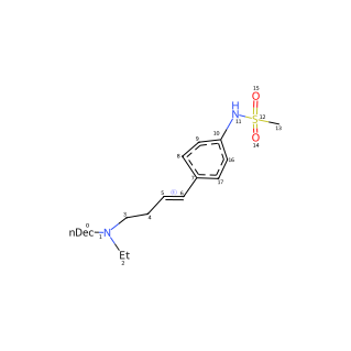 CCCCCCCCCCN(CC)CC/C=C/c1ccc(NS(C)(=O)=O)cc1